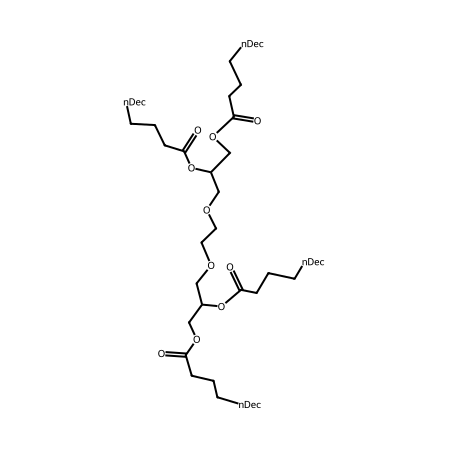 CCCCCCCCCCCCCC(=O)OCC(COCCOCC(COC(=O)CCCCCCCCCCCCC)OC(=O)CCCCCCCCCCCCC)OC(=O)CCCCCCCCCCCCC